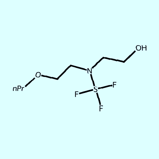 CCCOCCN(CCO)S(F)(F)F